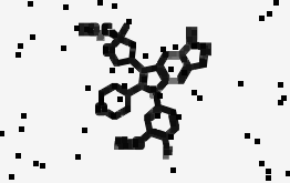 COc1cc(-n2c(C3CCOCC3)c(C3CO[C@@](C)(C(=O)O)C3)c3cc4[nH]ncc4cc32)ccc1F